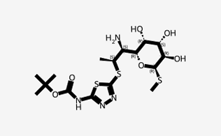 CS[C@H]1O[C@H]([C@H](N)[C@H](C)Sc2nnc(NC(=O)OC(C)(C)C)s2)[C@H](O)[C@H](O)[C@H]1O